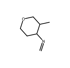 C=NC1CCOCC1C